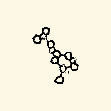 C1=CC2c3cc(C4=Cc5c(sc6c5=C(C5N=C(c7ccccc7)N=C(c7ccccc7)N5)CCC=6)CC4)ccc3SC2C=C1n1c2ccccc2c2ccccc21